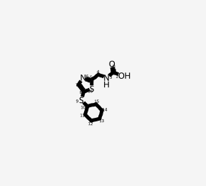 O=C(O)NCc1ncc(SC2CCCCC2)s1